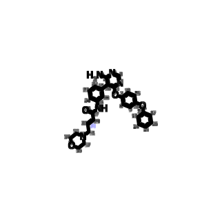 Nc1ncnc(Oc2ccc(Oc3ccccc3)cc2)c1-c1cccc(NC(=O)/C=C/CN2CCOCC2)c1